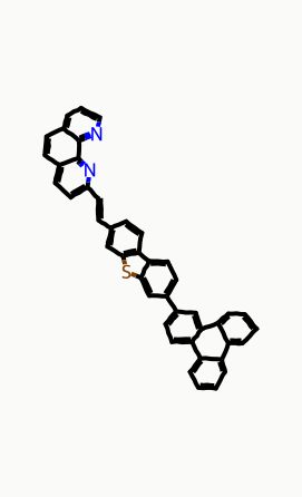 C(=C\c1ccc2ccc3cccnc3c2n1)/c1ccc2c(c1)sc1cc(-c3ccc4c5ccccc5c5ccccc5c4c3)ccc12